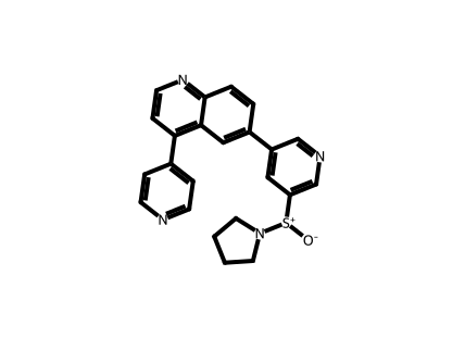 [O-][S+](c1cncc(-c2ccc3nccc(-c4ccncc4)c3c2)c1)N1CCCC1